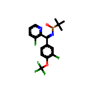 CC(C)(C)[S+]([O-])/N=C(/c1ccc(OC(F)(F)F)c(F)c1)c1ncccc1F